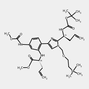 C=CC[C@H](NC(=O)OC(C)(C)C)c1nc(-c2ccc(NC(=O)OC)cc2N[C@H](CC=C)C(=O)OC)cn1COCC[Si](C)(C)C